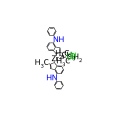 CC1=Cc2c(Nc3ccccc3)cccc2[CH]1[Zr+2][CH]1C(C)=Cc2c(Nc3ccccc3)cccc21.C[SiH2]C.[Cl-].[Cl-]